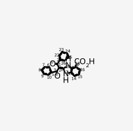 O=C(C(C(=O)c1ccccc1)=C1Nc2cccc(C(=O)O)c2N1)c1ccccc1